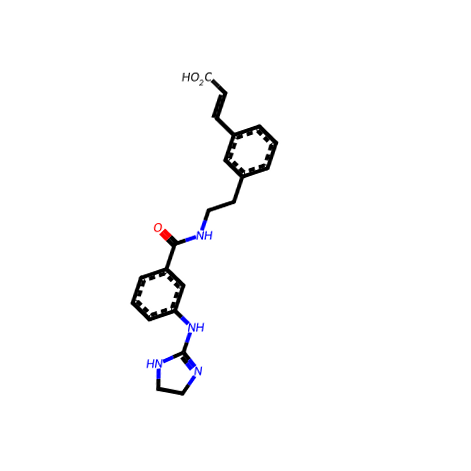 O=C(O)C=Cc1cccc(CCNC(=O)c2cccc(NC3=NCCN3)c2)c1